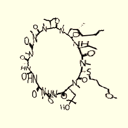 C/C=C/C[C@@H](C)C[C@H]1C(=O)N[C@@H](CC)C(=O)N(C)[C@H](SCCCCOC)C(=O)N(C)[C@@H](CC(C)(C)O)C(=O)NC(=O)N(C)C(=O)NC(=O)N[C@H](C)C(=O)N(C)C(=O)N(C)C(=O)N(C)[C@@H](C(C)C)C(=O)N1C